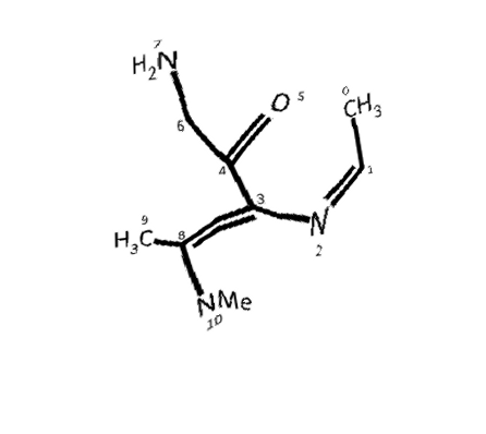 C/C=N\C(C(=O)CN)=C(\C)NC